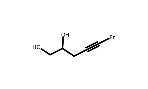 CCC#CCC(O)CO